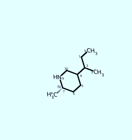 CCC(C)C1CC[C@H](C)NC1